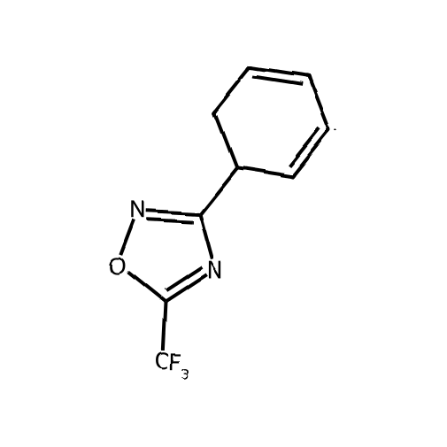 FC(F)(F)c1nc(C2C=[C]C=CC2)no1